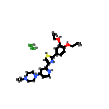 CCOc1ccc(-c2nc(-c3cc(N4CCN(C)CC4)ccn3)cs2)cc1OCC.Cl.Cl